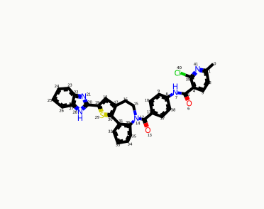 Cc1ccc(C(=O)Nc2ccc(C(=O)N3CCc4cc(-c5nc6ccccc6[nH]5)sc4-c4ccccc43)cc2)c(Cl)n1